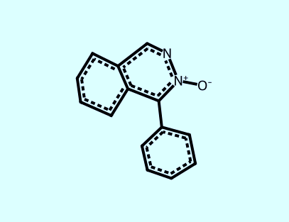 [O-][n+]1ncc2ccccc2c1-c1ccccc1